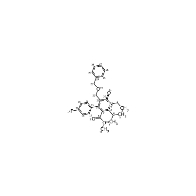 CCn1c(C(C)C)c(C(=O)OC)c(-c2ccc(F)cc2)c(COCc2ccccc2)c1=O